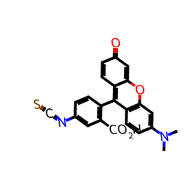 CN(C)c1ccc2c(-c3ccc(N=C=S)cc3C(=O)O)c3ccc(=O)cc-3oc2c1